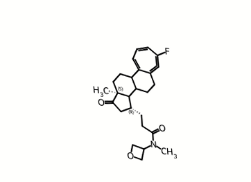 CN(C(=O)CC[C@@H]1CC(=O)[C@@]2(C)CCC3C4=CC=CC(F)=C=C4CCC3C12)C1COC1